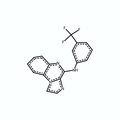 FC(F)(F)c1cccc(Nc2nc3ccccc3n3ccnc23)c1